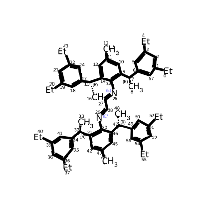 CCc1cc(CC)cc([C@@H](C)c2cc(C)cc([C@H](C)c3cc(CC)cc(CC)c3)c2/N=C/C=N/c2c([C@H](C)c3cc(CC)cc(CC)c3)cc(C)cc2[C@H](C)c2cc(CC)cc(CC)c2)c1